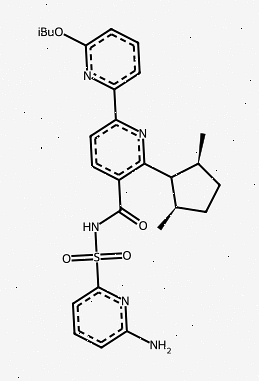 CC(C)COc1cccc(-c2ccc(C(=O)NS(=O)(=O)c3cccc(N)n3)c(C3[C@H](C)CC[C@@H]3C)n2)n1